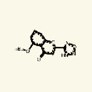 CCCCOc1cccc2oc(-c3nnn[nH]3)cc(=O)c12